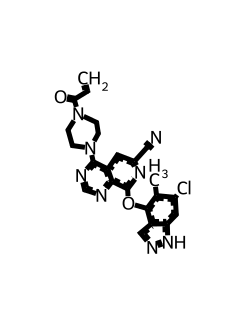 C=CC(=O)N1CCN(c2ncnc3c(Oc4c(C)c(Cl)cc5[nH]ncc45)nc(C#N)cc23)CC1